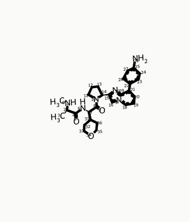 CN[C@@H](C)C(=O)N[C@H](C(=O)N1CCC[C@H]1c1cn2cccc(-c3ccc(N)cc3)c2n1)C1CCOCC1